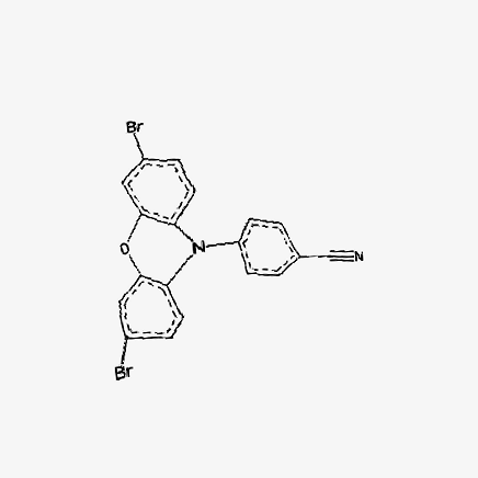 N#Cc1ccc(N2c3ccc(Br)cc3Oc3cc(Br)ccc32)cc1